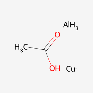 CC(=O)O.[AlH3].[Cu]